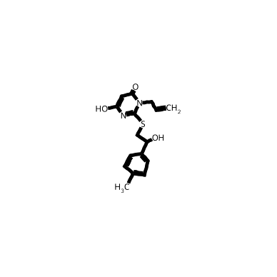 C=CCn1c(SCC(O)c2ccc(C)cc2)nc(O)cc1=O